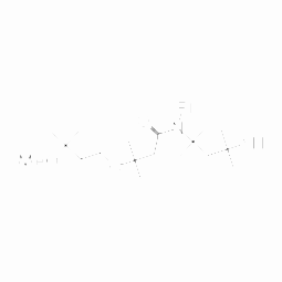 CCN(C(=O)CC(C)(C)OCCC(C)(C)OC)C(C)(C)CC(C)(C)S